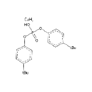 CC(C)(C)c1ccc(OP(=O)(O)Oc2ccc(C(C)(C)C)cc2)cc1.[CaH2]